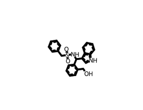 O=S(=O)(Cc1ccccc1)NC(c1ccccc1CO)c1c[nH]c2ccccc12